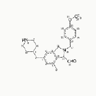 Cc1cc(CC2CCNCC2)cc2c1C(C=O)N(Cc1ccc(OC(F)(F)F)cc1)C2